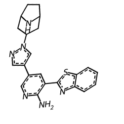 Nc1ncc(-c2cnn(C3CC4CCC(C3)N4)c2)cc1-c1nc2ccccc2s1